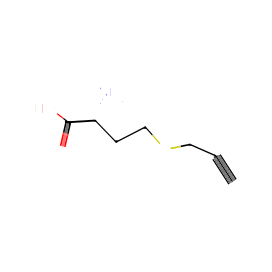 C#CCSCC[C@@H](N)C(=O)O